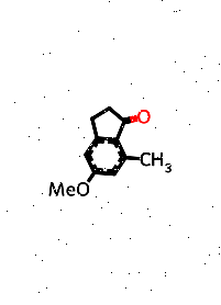 COc1cc(C)c2c(c1)CCC2=O